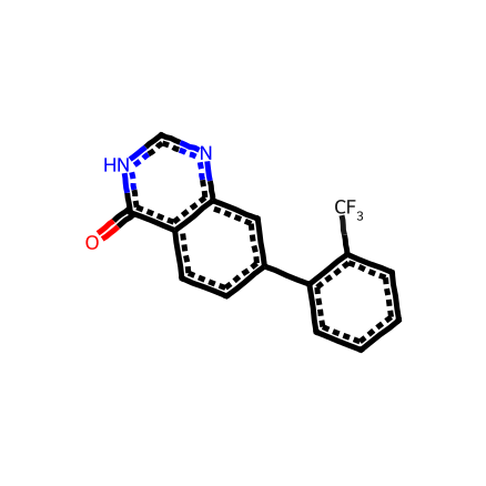 O=c1[nH]cnc2cc(-c3ccccc3C(F)(F)F)ccc12